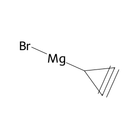 [Br][Mg][CH]1C#C1